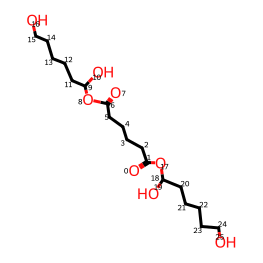 O=C(CCCCC(=O)OC(O)CCCCCO)OC(O)CCCCCO